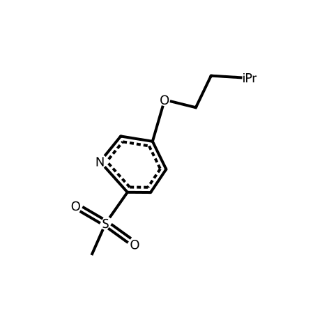 CC(C)CCOc1ccc(S(C)(=O)=O)nc1